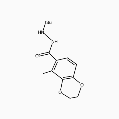 Cc1c(C(=O)NNC(C)(C)C)ccc2c1OCCO2